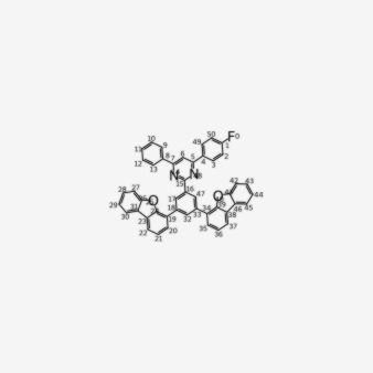 Fc1ccc(-c2cc(-c3ccccc3)nc(-c3cc(-c4cccc5c4oc4ccccc45)cc(-c4cccc5c4oc4ccccc45)c3)n2)cc1